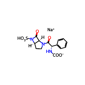 O=C([O-])N[C@H](C(=O)N1CC[C@@H]2[C@H]1C(=O)N2S(=O)(=O)O)c1ccccc1.[Na+]